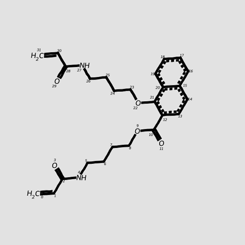 C=CC(=O)NCCCCOC(=O)c1ccc2ccccc2c1OCCCCNC(=O)C=C